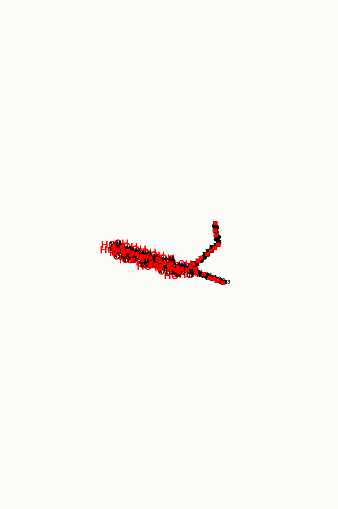 CCCCCCCC/C=C\CCCCCCCCCCCCCC(=O)N[C@@H](CO[C@@H]1OC(CO)[C@@H](O[C@@H]2OC(CO)[C@H](O[C@@H]3OC(CO)[C@H](O)[C@H](O[C@H]4OC(CO)[C@H](O)[C@H](O[C@H]5OC(CO)[C@H](O)[C@H](O[C@H]6OC(CO)[C@H](O)[C@H](O[C@H]7OC(CO)[C@H](O)[C@H](O[C@H]8OC(CO)[C@H](O)[C@H](O)C8O)C7O)C6O)C5O)C4O)C3O)[C@H](O)C2O)[C@H](O)C1O)[C@H](O)/C=C/CCCCCCCCCCCCC